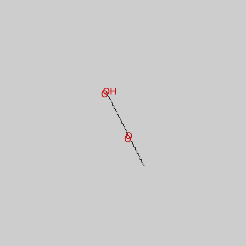 CCCCCCCCC=CCCCCCCCCCC(=O)OCCCCCCCCCCCCCCCCCCCCCCCCCCCCC(=O)O